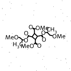 COCC(C)OC(=O)C1C(C(=O)OC)C(C(=O)OC(C)COC)C1C(=O)OC